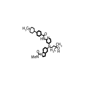 CNC(=O)n1ccc2cc(N(CCC(C)(C)O)c3ccnc(NC(=O)c4ccc(C5CCN(C)CC5)cc4)c3)ccc21